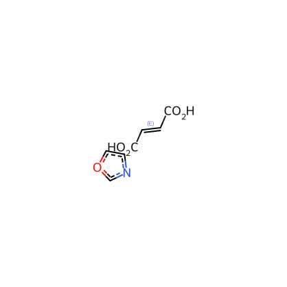 O=C(O)/C=C/C(=O)O.c1cocn1